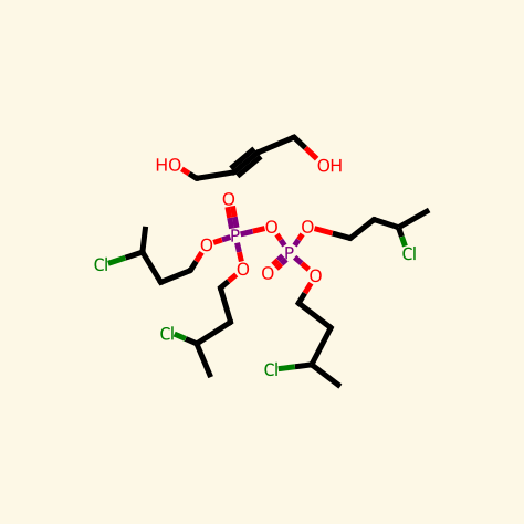 CC(Cl)CCOP(=O)(OCCC(C)Cl)OP(=O)(OCCC(C)Cl)OCCC(C)Cl.OCC#CCO